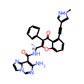 C[C@@H](NC(=O)c1c(N)ncn2ccnc12)c1oc2cccc(C#Cc3cnn(C)c3)c2c(=O)c1-c1ccccc1